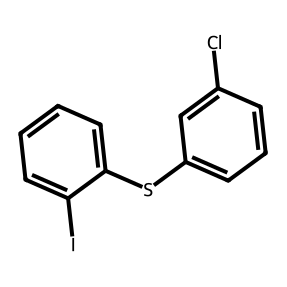 Clc1cccc(Sc2ccccc2I)c1